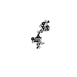 C=CC(=O)N1CCN(c2nc(=O)n(-c3c(CC)cc(/C=C/C(=O)N4CCN(C5=NC(O)N(c6c(C)ccnc6C(C)C)c6nc(-c7cc(C(=O)NC8CC8)ccc7F)c(Cl)cc65)[C@@H](C)C4)cc3CC)c3nc(-c4ccccc4F)c(Cl)cc23)[C@@H](C(=O)O)C1